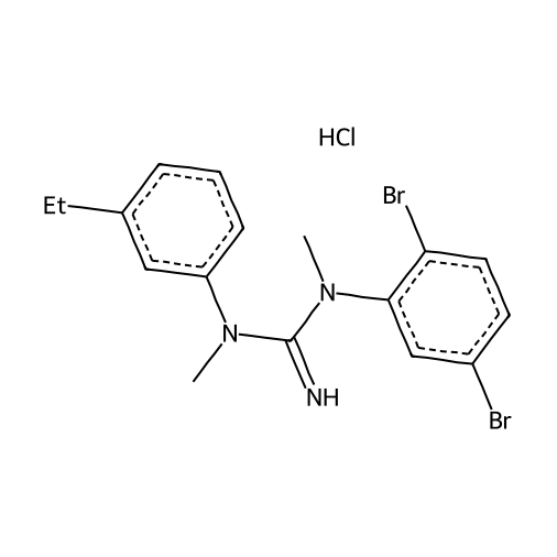 CCc1cccc(N(C)C(=N)N(C)c2cc(Br)ccc2Br)c1.Cl